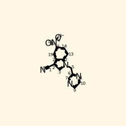 N#Cc1cn(Cc2cnccn2)c2ccc([N+](=O)[O-])cc12